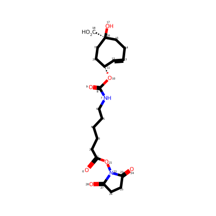 O=C(CCCCCNC(=O)O[C@H]1/C=C/CC[C@@](O)(C(=O)O)CC1)ON1C(=O)CCC1=O